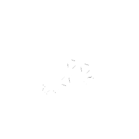 C[As](C)c1noc2ccc(-c3cc(Cl)ccc3Oc3cc(F)c(S(=O)(=O)Nc4ncns4)cc3F)cc12